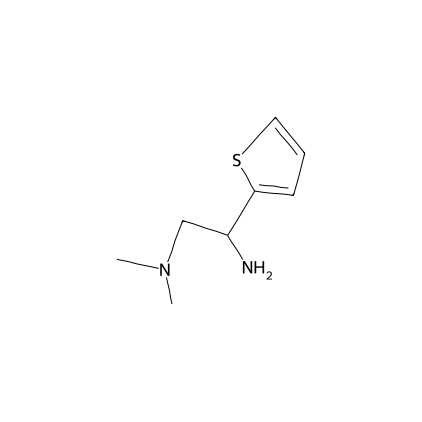 CN(C)CC(N)c1cccs1